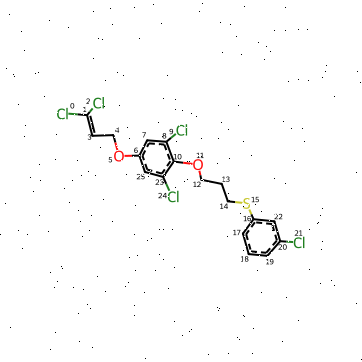 ClC(Cl)=CCOc1cc(Cl)c(OCCCSc2cccc(Cl)c2)c(Cl)c1